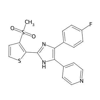 CS(=O)(=O)c1ccsc1-c1nc(-c2ccc(F)cc2)c(-c2ccncc2)[nH]1